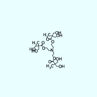 CC(CO)(CO)C(=O)OCCN(CCOC(=O)C(C)(CO)CO)CCOC(=O)C(C)(CO)CO